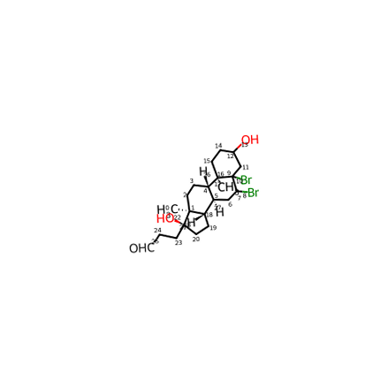 C[C@]12CC[C@H]3[C@@H](CC(Br)C4(Br)CC(O)CC[C@]34C)[C@@H]1CC[C@]2(O)CCC=O